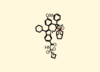 COc1ccc2c(c1)C1CC1(C(=O)N1C3CCC1CC(N(C)Cc1ccccc1)C3)Cn1c-2c(C2CCCCC2)c2ccc(C(=O)NS(=O)(=O)N3CCC3)cc21